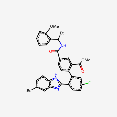 CCC(NC(=O)c1ccc(-c2cc(Cl)ccc2-c2nc3cc(C(C)(C)C)ccc3[nH]2)c(C(=O)OC)c1)c1ccccc1OC